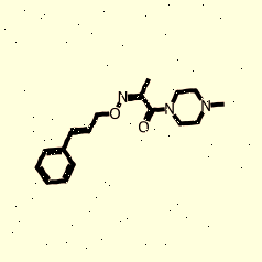 CC(=NOCC=Cc1ccccc1)C(=O)N1CCN(C)CC1